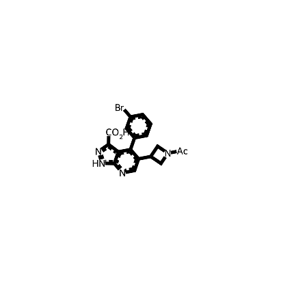 CC(=O)N1CC(c2cnc3[nH]nc(C(=O)O)c3c2-c2cccc(Br)c2)C1